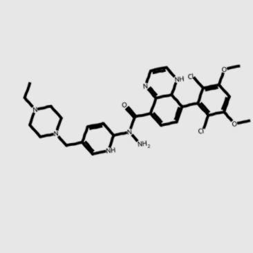 CCN1CCN(CC2=CNC(N(N)C(=O)C3=CC=C(c4c(Cl)c(OC)cc(OC)c4Cl)C4NC=CN=C34)C=C2)CC1